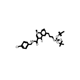 Cn1cc(C(=O)NCc2ccc(Cl)cc2)c(=O)c2cc(CCCOP(=O)(OC(C)(C)C)OC(C)(C)C)ccc21